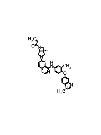 C=CC(=O)N1C[C@H]2CN(c3ccc4ncnc(Nc5ccc(Oc6ccc7c(c6)ncn7C)c(C)c5)c4n3)CC21